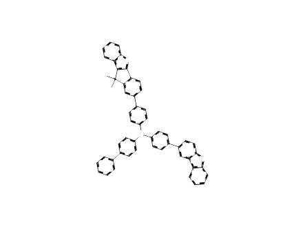 CC1(C)c2cc(-c3ccc(N(c4ccc(-c5ccccc5)cc4)c4ccc(-c5ccc6oc7ccccc7c6c5)cc4)cc3)ccc2-c2sc3ccccc3c21